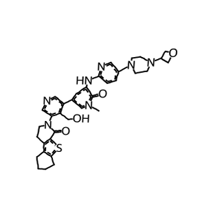 Cn1cc(-c2cncc(N3CCc4c(sc5c4CCCC5)C3=O)c2CO)cc(Nc2ccc(N3CCN(C4COC4)CC3)cn2)c1=O